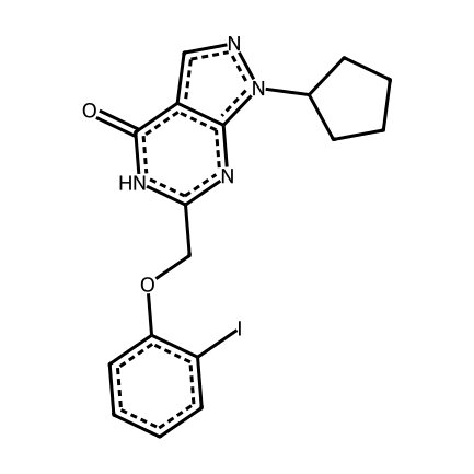 O=c1[nH]c(COc2ccccc2I)nc2c1cnn2C1CCCC1